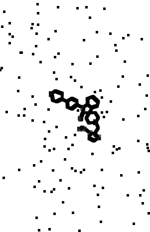 CCCn1ccnc1CN1CCC2(CC1)C(=O)N(c1ccc(-c3ccncc3)cc1)c1ccccc12